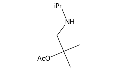 CC(=O)OC(C)(C)CNC(C)C